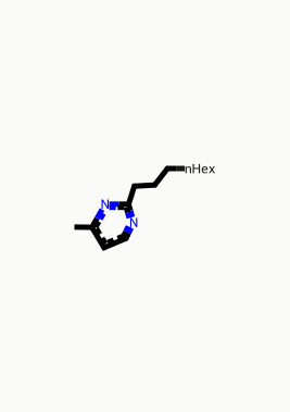 CCCCCCCCCc1nccc(C)n1